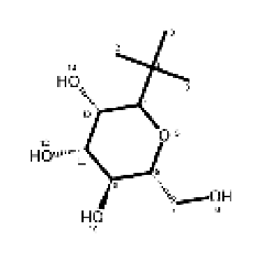 CC(C)(C)C1O[C@H](CO)[C@@H](O)[C@H](O)[C@@H]1O